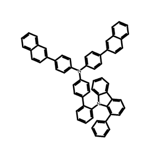 c1ccc(-c2cccc3c4ccccc4n(-c4ccccc4-c4ccc(N(c5ccc(-c6ccc7ccccc7c6)cc5)c5ccc(-c6ccc7ccccc7c6)cc5)cc4)c23)cc1